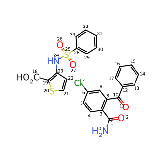 NC(=O)c1ccc(Cl)cc1C(=O)c1ccccc1.O=C(O)c1sccc1NS(=O)(=O)c1ccccc1